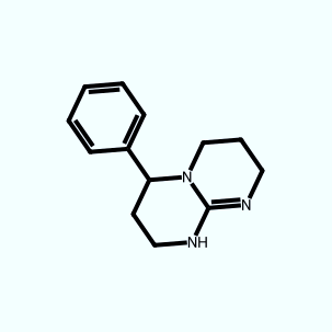 c1ccc(C2CCNC3=NCCCN32)cc1